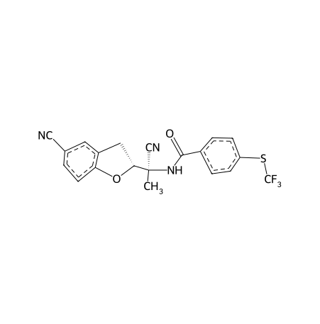 C[C@](C#N)(NC(=O)c1ccc(SC(F)(F)F)cc1)[C@H]1Cc2cc(C#N)ccc2O1